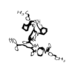 CCOC(=O)N1CCN(C(=O)C(CCC(=O)O)NC(=O)c2cc(OC3(C(=O)OCC)CCC3)n(-c3ccccc3CC)n2)CC1